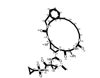 C=C[C@@H]1S[C@]1(NC(=O)[C@@H]1C[C@@H]2CN1C(=O)[C@H](C(C)C)NC(=O)OCCCCCc1cccc3c1CN(C3)C(=O)O2)C(=O)NS(=O)(=O)C1CC1